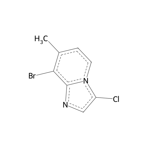 Cc1ccn2c(Cl)cnc2c1Br